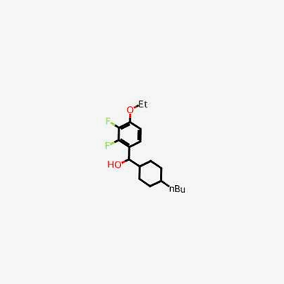 CCCCC1CCC(C(O)c2ccc(OCC)c(F)c2F)CC1